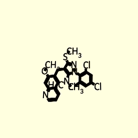 COc1cc2ncccc2cc1Cc1c(SC)nn(-c2c(Cl)cc(Cl)cc2Cl)c1N(C)C